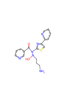 NCCCN(O)N(C(=O)c1cccnc1)c1nc(-c2ccccn2)cs1